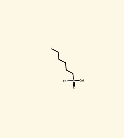 O=P(O)(O)CCCCCF